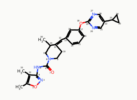 Cc1onc(NC(=O)N2CCC(=Cc3cccc(Oc4ncc(C5CC5)cn4)c3)C(C)C2)c1C